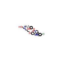 Cc1ccc(OC(=O)N2CCc3c([nH]c4ccc(Cl)cc34)[C@@H]2C2(C)C=CC(OCCC(O)CNCCO)=CC2)cc1